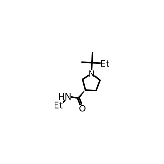 CCNC(=O)[C@@H]1CCN(C(C)(C)CC)C1